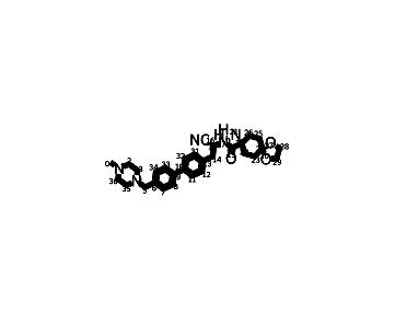 CN1CCN(Cc2ccc(-c3ccc(C[C@@H](C#N)NC(=O)C4(N)CCC5(CC4)OCCO5)cc3)cc2)CC1